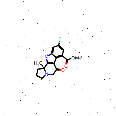 COC(=O)c1cc(F)cc2[nH]c3c(c12)C(=O)CN1CCC[C@]31C